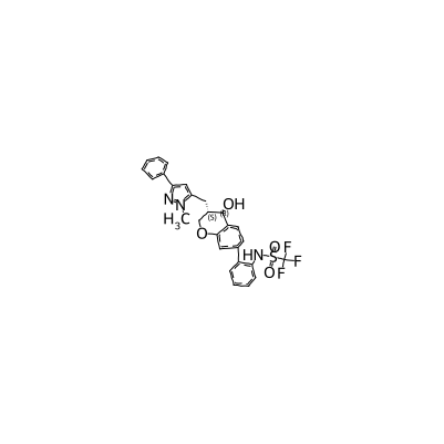 Cn1nc(-c2ccccc2)cc1C[C@H]1COc2cc(-c3ccccc3NS(=O)(=O)C(F)(F)F)ccc2[C@@H]1O